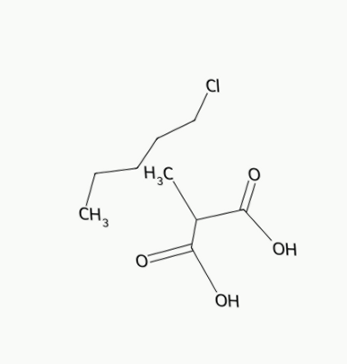 CC(C(=O)O)C(=O)O.CCCCCCl